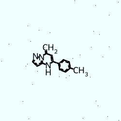 C=C1C=C(c2ccc(C)cc2)Nc2ccnn21